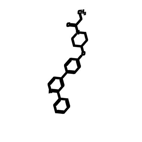 CCC(=O)N1CCC(Oc2ccc(-c3ccnc(-c4ccccc4)c3)cc2)CC1